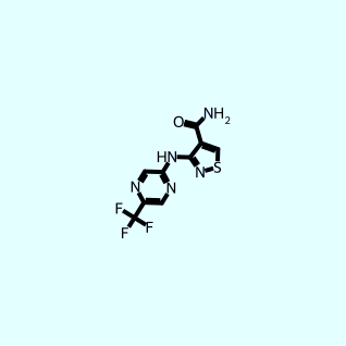 NC(=O)c1csnc1Nc1cnc(C(F)(F)F)cn1